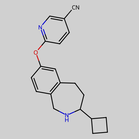 N#Cc1ccc(Oc2ccc3c(c2)CCC(C2CCC2)NC3)nc1